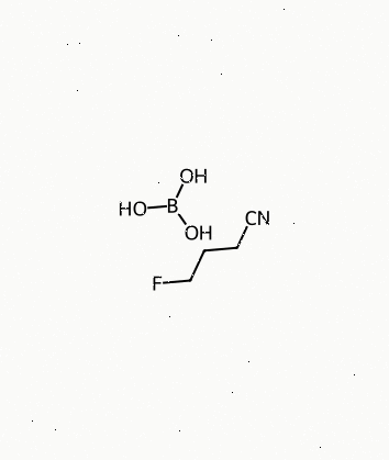 N#CCCCF.OB(O)O